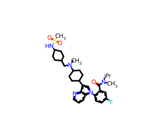 CC(C)N(C)C(=O)c1cc(F)ccc1-n1cc(C2CCC(N(C)CC3CCC(NS(C)(=O)=O)CC3)CC2)c2ncccc21